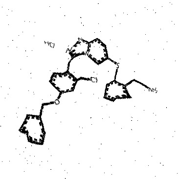 Cl.NCc1ccccc1Sc1ccc2nnc(-c3ccc(OCc4ccccc4)cc3Cl)n2c1